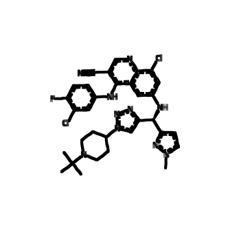 Cn1ccc([C@H](Nc2cc(Cl)c3ncc(C#N)c(Nc4ccc(F)c(Cl)c4)c3c2)c2cn(C3CCN(C(C)(C)C)CC3)nn2)n1